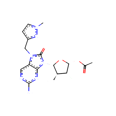 CCC(=O)O[C@H]1O[C@@H](n2c(=O)n(Cc3ccn(C)n3)c3cnc(N)nc32)[C@H](OC(C)=O)[C@H]1F